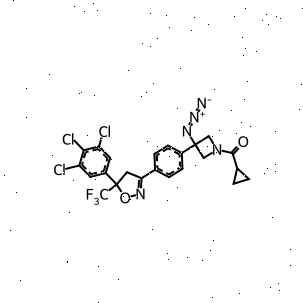 [N-]=[N+]=NC1(c2ccc(C3=NOC(c4cc(Cl)c(Cl)c(Cl)c4)(C(F)(F)F)C3)cc2)CN(C(=O)C2CC2)C1